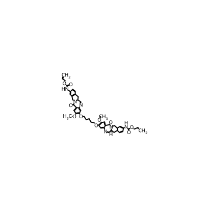 C=CCOC(=O)Nc1ccc2c(c1)CN1C(=O)c3cc(OC)c(OCCCCCOc4cc5c(cc4OC)C(=O)N4Cc6cc(NC(=O)OCC=C)ccc6C[C@H]4C=N5)cc3N=CC1C2